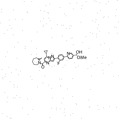 COC(O)c1ccc(-c2ccc(-c3cc4nc(C(=O)N5CCCCC[C@H]5C)cc(C5CC5)n4n3)c(F)c2)nc1